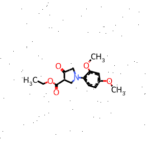 CCOC(=O)C1CN(c2ccc(OC)cc2OC)CC1=O